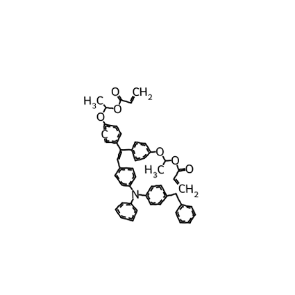 C=CC(=O)OC(C)Oc1ccc(C(=Cc2ccc(N(c3ccccc3)c3ccc(Cc4ccccc4)cc3)cc2)c2ccc(OC(C)OC(=O)C=C)cc2)cc1